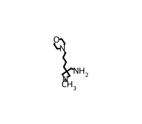 CN1CC(CN)(CCCCN2CCOCC2)C1